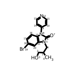 CC(CO)Cn1c(=O)n(-c2ccncc2)c2ccc(Br)cc21